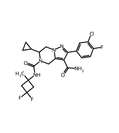 CC1(NC(=O)N2Cc3c(C(N)=O)c(-c4ccc(F)c(Cl)c4)nn3CC2C2CC2)CC(F)(F)C1